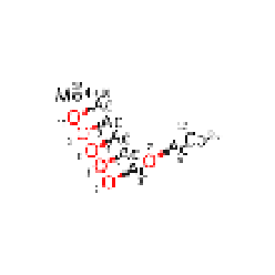 CC(=O)[O-].CC(=O)[O-].CC(=O)[O-].CC(=O)[O-].CC(=O)[O-].CC(=O)[O-].[Co+2].[Mo+4]